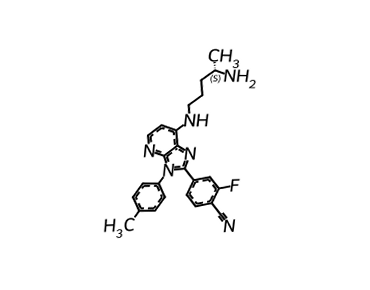 Cc1ccc(-n2c(-c3ccc(C#N)c(F)c3)nc3c(NCCC[C@H](C)N)ccnc32)cc1